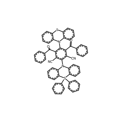 N#Cc1c(C(=O)c2ccccc2)c(N2c3ccccc3Sc3ccccc32)c(C(=O)c2ccccc2)c(C#N)c1N1c2ccccc2S(c2ccccc2)(c2ccccc2)c2ccccc21